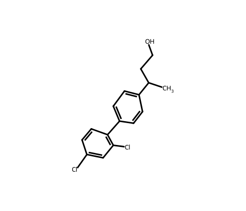 CC(CCO)c1ccc(-c2ccc(Cl)cc2Cl)cc1